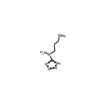 CNCCCN(N)c1nnn[nH]1